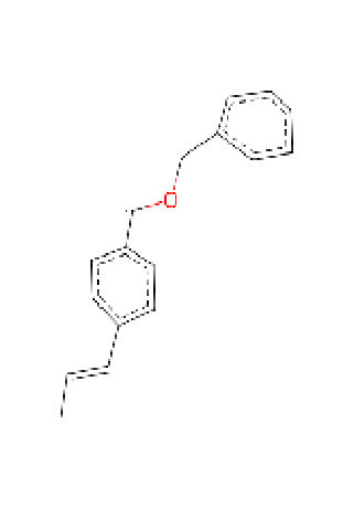 CC=Cc1ccc([CH]OCc2ccccc2)cc1